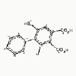 CCCCc1cc(C(=O)O)c(C(=O)O)c(C)c1-c1ccccc1